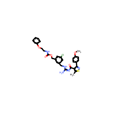 COc1ccc(-c2nsc(C)c2C(=O)/N=C(/N)NCc2cc(Cl)cc(COC(=O)NCCOc3ccccc3)c2)cc1